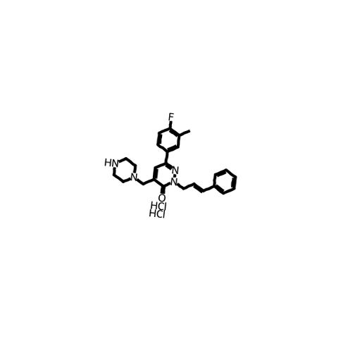 Cc1cc(-c2cc(CN3CCNCC3)c(=O)n(CC=Cc3ccccc3)n2)ccc1F.Cl.Cl